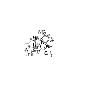 CC(N)C(C)Nc1nc(Nc2ccc3ncccc3c2)c(C#N)cc1F